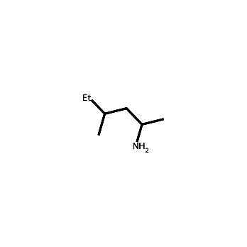 CCC(C)CC(C)N